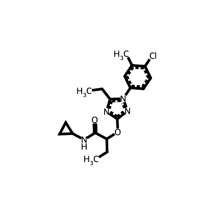 CCc1nc(OC(CC)C(=O)NC2CC2)nn1-c1ccc(Cl)c(C)c1